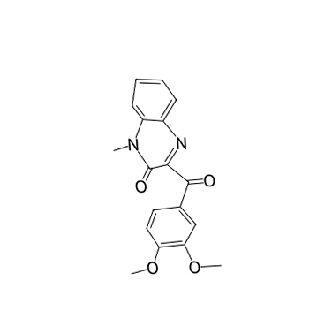 COc1ccc(C(=O)c2nc3ccccc3n(C)c2=O)cc1OC